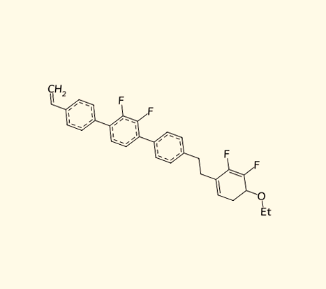 C=Cc1ccc(-c2ccc(-c3ccc(CCC4=CCC(OCC)C(F)=C4F)cc3)c(F)c2F)cc1